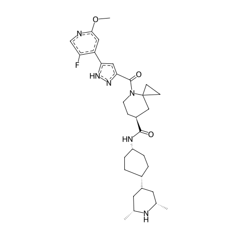 COc1cc(-c2cc(C(=O)N3CC[C@H](C(=O)N[C@H]4CC[C@@H](C5C[C@@H](C)N[C@@H](C)C5)CC4)CC34CC4)n[nH]2)c(F)cn1